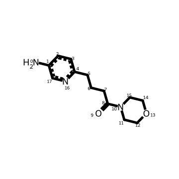 Nc1ccc(CCCC(=O)N2CCOCC2)nc1